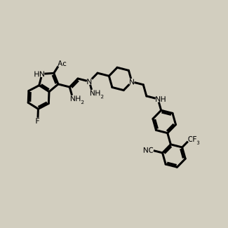 CC(=O)c1[nH]c2ccc(F)cc2c1/C(N)=C/N(N)CC1CCN(CCNc2ccc(-c3c(C#N)cccc3C(F)(F)F)cc2)CC1